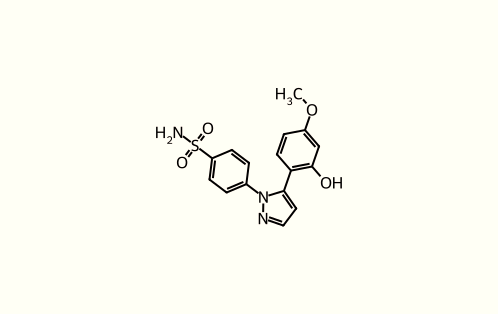 COc1ccc(-c2ccnn2-c2ccc(S(N)(=O)=O)cc2)c(O)c1